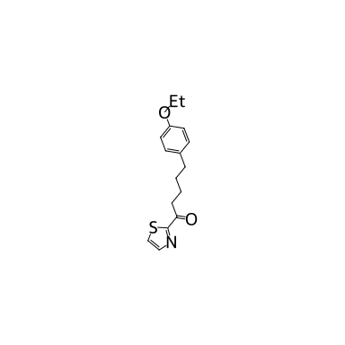 CCOc1ccc(CCCCC(=O)c2nccs2)cc1